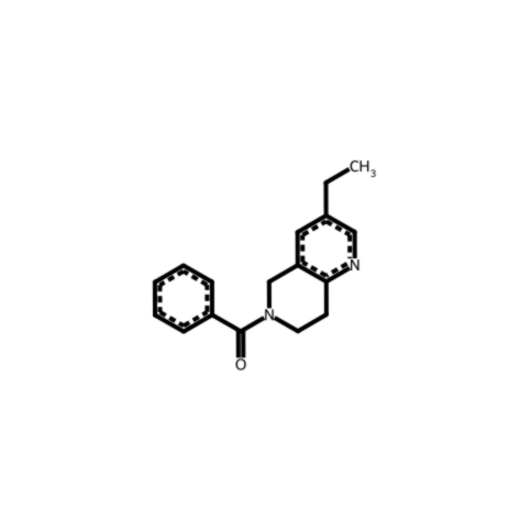 CCc1cnc2c(c1)CN(C(=O)c1ccccc1)CC2